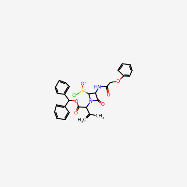 C=C(C)C(C(=O)OC(c1ccccc1)c1ccccc1)N1C(=O)C(NC(=O)COc2ccccc2)C1[S+]([O-])Cl